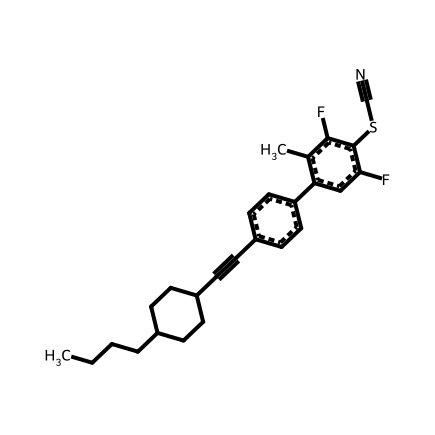 CCCCC1CCC(C#Cc2ccc(-c3cc(F)c(SC#N)c(F)c3C)cc2)CC1